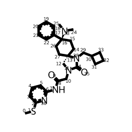 CSc1cccc(NC(=O)CN2C[C@]3(CC[C@](c4ccccc4)(N(C)C)CC3)N(CC3CCC3)C2=O)n1